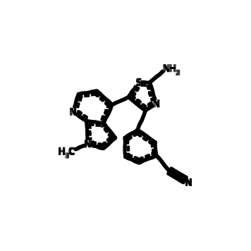 Cn1ccc2c(-c3sc(N)nc3-c3cccc(C#N)c3)ccnc21